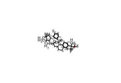 CC1(C)[C@@H](NC(=O)CC2CCc3cc(C(O)(C(F)(F)F)C(F)(F)F)ccc3N2S(=O)(=O)c2ccc(F)cc2)CC[C@@]1(C)N